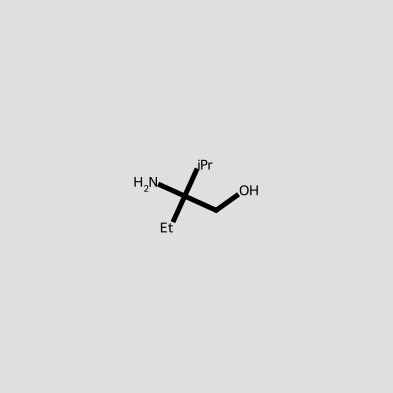 CCC(N)(CO)C(C)C